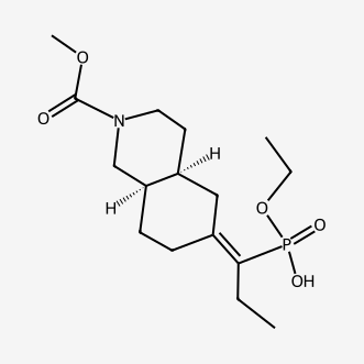 CCOP(=O)(O)C(CC)=C1CC[C@H]2CN(C(=O)OC)CC[C@H]2C1